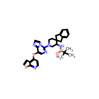 CC(C)(C)[S@@+]([O-])NC1CN(c2ncc(Sc3ccnc4sccc34)c3nccn23)CCC12Cc1ccccc1C2